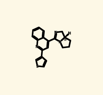 c1ccc2c(C3=NC[C@@H]4CCCN34)cc(-c3ccsc3)nc2c1